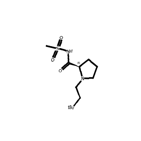 CC(C)(C)CCN1CCC[C@@H]1C(=O)NS(C)(=O)=O